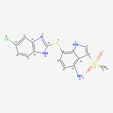 CS(=O)(=O)c1c[nH]c2c(Sc3nc4cc(Cl)ccc4[nH]3)ccc(N)c12